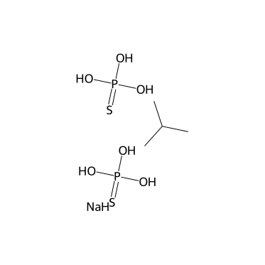 CC(C)C.OP(O)(O)=S.OP(O)(O)=S.[NaH]